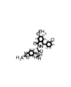 [2H]C([2H])([2H])N(C(=O)Cn1nc(-c2cccc(Cl)c2)c2ccc(OC)cc2c1=O)c1ccc2nc(C)oc2c1